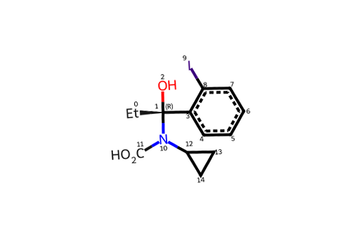 CC[C@@](O)(c1ccccc1I)N(C(=O)O)C1CC1